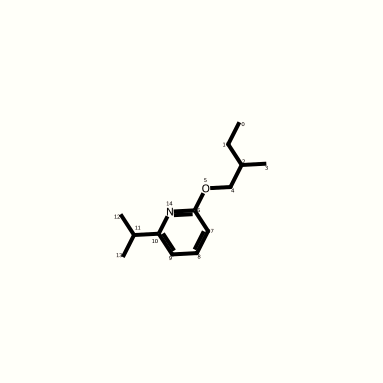 CCC(C)COc1cccc(C(C)C)n1